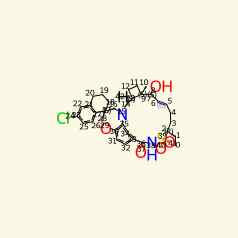 CC[C@@H]1CC/C=C/[C@H](O)[C@@]2(C)CC[C@@H]2CN2C[C@@]3(CCCc4cc(Cl)ccc43)COc3ccc(cc32)C(=O)NS1(=O)=O